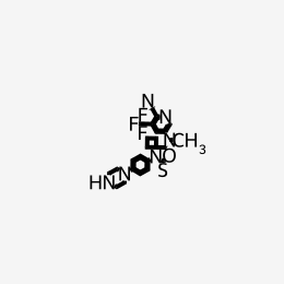 CN(C(=O)C1(N(C=S)c2ccc(N3CCNCC3)cc2)CCC1)c1cnc(C#N)c(C(F)(F)F)c1